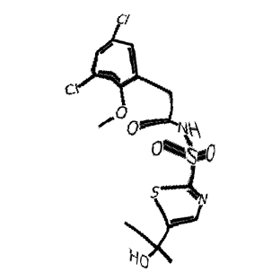 COc1c(Cl)cc(Cl)cc1CC(=O)NS(=O)(=O)c1ncc(C(C)(C)O)s1